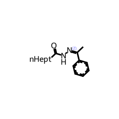 CCCCCCCC(=O)N/N=C(/C)c1ccccc1